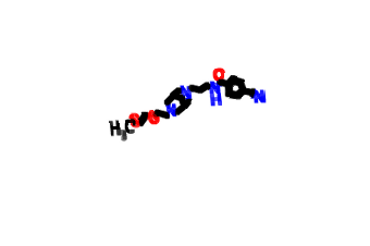 COCCOCCN1CC2CC(CN(CCCNC(=O)c3ccc(C#N)cc3)C2)C1